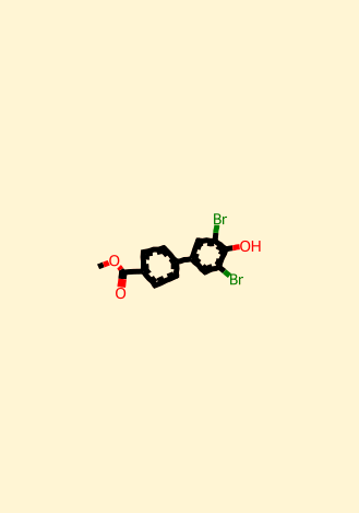 COC(=O)c1ccc(-c2cc(Br)c(O)c(Br)c2)cc1